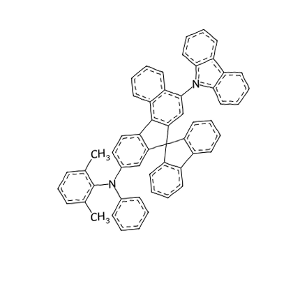 Cc1cccc(C)c1N(c1ccccc1)c1ccc2c(c1)C1(c3ccccc3-c3ccccc31)c1cc(-n3c4ccccc4c4ccccc43)c3ccccc3c1-2